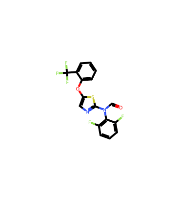 O=CN(c1ncc(Oc2ccccc2C(F)(F)F)s1)c1c(F)cccc1F